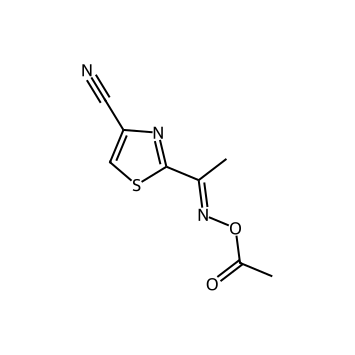 CC(=O)O/N=C(\C)c1nc(C#N)cs1